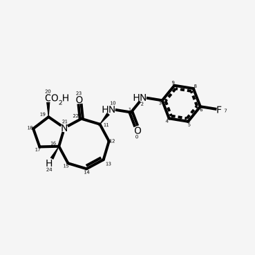 O=C(Nc1ccc(F)cc1)N[C@H]1C/C=C\C[C@@H]2CC[C@@H](C(=O)O)N2C1=O